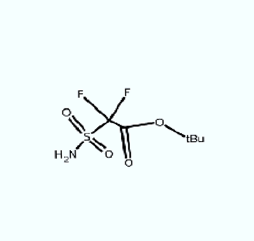 CC(C)(C)OC(=O)C(F)(F)S(N)(=O)=O